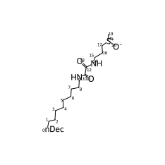 CCCCCCCCCCCCCCCCCCNC(=O)C(=O)NCCC[S+](C)[O-]